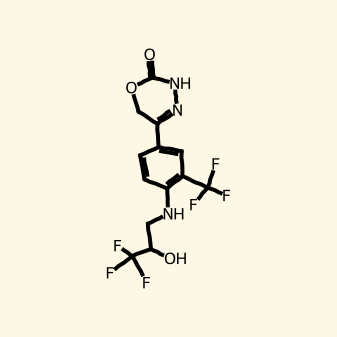 O=C1NN=C(c2ccc(NCC(O)C(F)(F)F)c(C(F)(F)F)c2)CO1